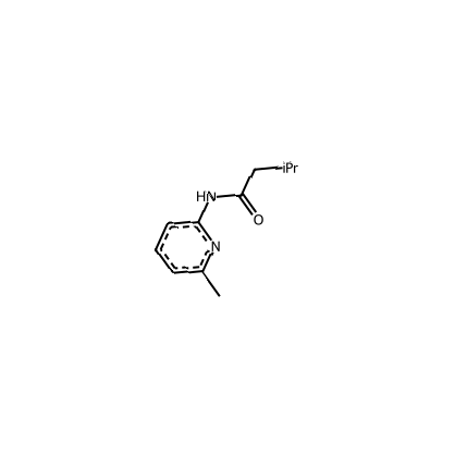 Cc1cccc(NC(=O)CC(C)C)n1